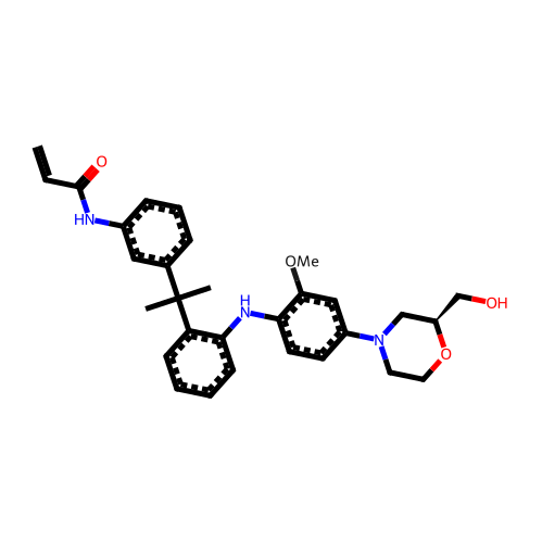 C=CC(=O)Nc1cccc(C(C)(C)c2ccccc2Nc2ccc(N3CCO[C@H](CO)C3)cc2OC)c1